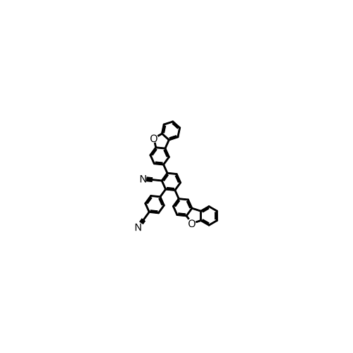 N#Cc1ccc(-c2c(-c3ccc4oc5ccccc5c4c3)ccc(-c3ccc4oc5ccccc5c4c3)c2C#N)cc1